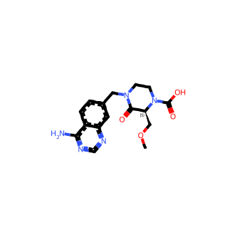 COC[C@H]1C(=O)N(Cc2ccc3c(N)ncnc3c2)CCN1C(=O)O